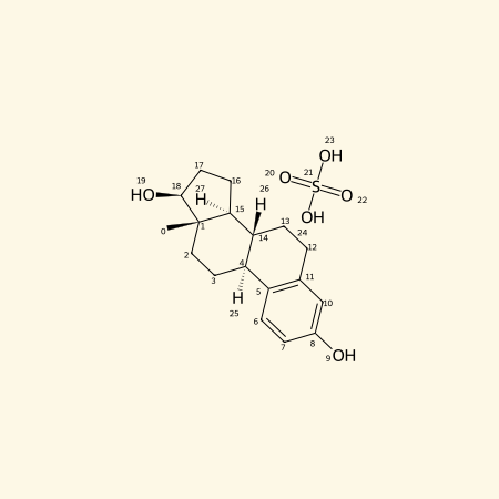 C[C@]12CC[C@@H]3c4ccc(O)cc4CC[C@H]3[C@@H]1CC[C@@H]2O.O=S(=O)(O)O